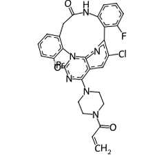 C=CC(=O)N1CCN(c2nc(=O)n3c4nc(c(Cl)cc24)-c2c(F)cccc2NC(=O)Cc2cccc(C(C)C)c2-3)CC1